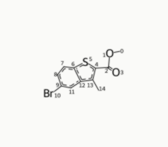 COC(=O)c1sc2ccc(Br)cc2c1C